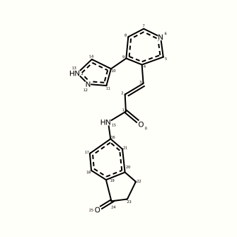 O=C(/C=C/c1cnccc1-c1cn[nH]c1)Nc1ccc2c(c1)CCC2=O